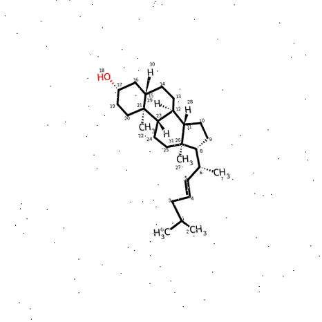 CC(C)C/C=C/[C@@H](C)[C@H]1CC[C@H]2[C@@H]3CC[C@H]4C[C@@H](O)CC[C@]4(C)[C@H]3CC[C@]12C